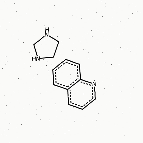 C1CNCN1.c1ccc2ncccc2c1